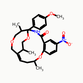 COc1ccc(COCC(C)/C2=C\CC(C)Oc3ccc([N+](=O)[O-])cc3C(=O)NCC(C)COC2)cc1